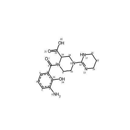 Nc1cccc(C(=O)N2CCN(C3=NCCCN3)CC2C(=O)O)c1O